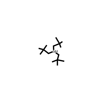 CC(C)(C)C[SiH](CC(C)(C)C)CC(C)(C)C